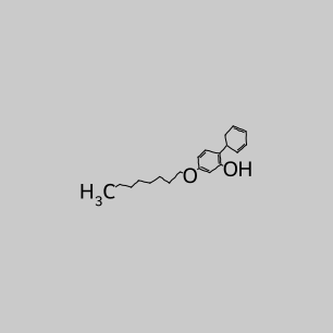 CCCCCCCCOc1ccc(C2C=CC=CC2)c(O)c1